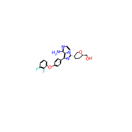 Nc1nccn2c([C@H]3CC[C@H](CO)OC3)nc(-c3ccc(Oc4cccc(F)c4F)cc3)c12